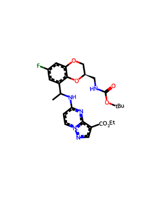 CCOC(=O)c1cnn2ccc(NC(C)c3cc(F)cc4c3O[C@H](CNC(=O)OC(C)(C)C)CO4)nc12